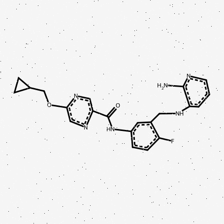 Nc1ncccc1NCc1cc(NC(=O)c2cnc(OCC3CC3)cn2)ccc1F